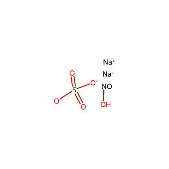 O=NO.O=S(=O)([O-])[O-].[Na+].[Na+]